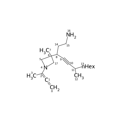 C=C=C(C)N1CC(C)(C(C#CC(C)CCCCCC)CCN)C1